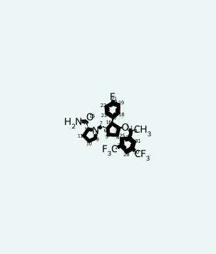 C[C@@H](O[C@H]1CC[C@H](CN2CCC[C@@H]2C(N)=O)[C@H]1c1ccc(F)cc1)c1cc(C(F)(F)F)cc(C(F)(F)F)c1